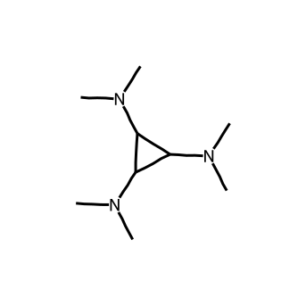 CN(C)C1C(N(C)C)C1N(C)C